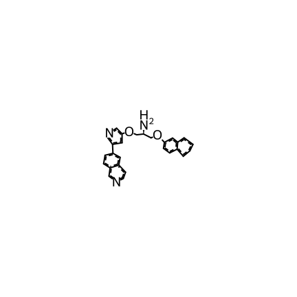 N[C@H](COc1cncc(-c2ccc3cnccc3c2)c1)COc1ccc2ccccc2c1